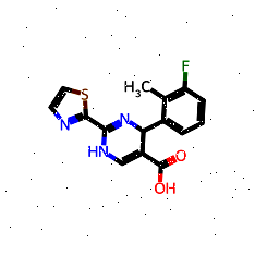 Cc1c(F)cccc1C1N=C(c2nccs2)NC=C1C(=O)O